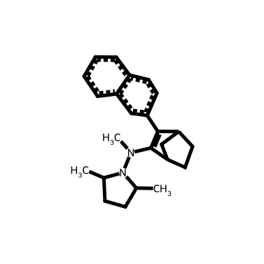 CC1CCC(C)N1N(C)C1=C(c2ccc3ccccc3c2)C2CCC1C2